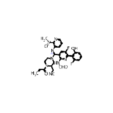 C=CC(=O)N1CCN(/C(=N/c2cccnc2[S+](C)[O-])c2cc(F)c(-c3c(O)cccc3F)nc2NC=O)CC1CC#N